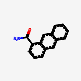 NC(=O)c1[c]ccc2cc3ccccc3cc12